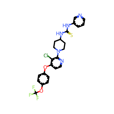 FC(F)(F)Oc1ccc(Oc2ccnc(N3CCC(NC(=S)Nc4cccnc4)CC3)c2Cl)cc1